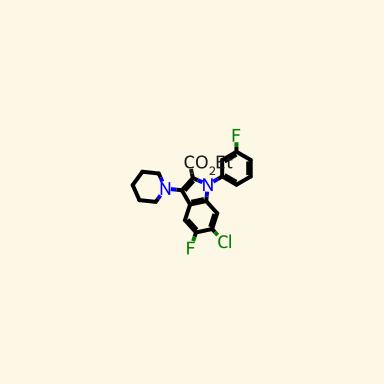 CCOC(=O)c1c(N2CCCCC2)c2cc(F)c(Cl)cc2n1-c1cccc(F)c1